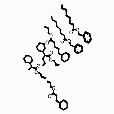 C=CCOC(=O)C(C)C1CCCCC1.C=CCOC(=O)C(CCC)C1CCCCC1.C=CCOC(=O)CCC1CCCCC1.C=CCOC(=O)CCCCC1CCCCC1.CCCCCCCC(=O)OCc1ccccc1.CCCCCCCC(=O)OCc1ccccc1